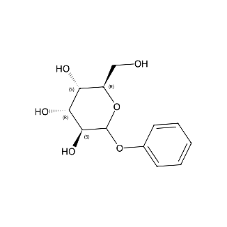 OC[C@H]1OC(Oc2ccccc2)[C@@H](O)[C@H](O)[C@@H]1O